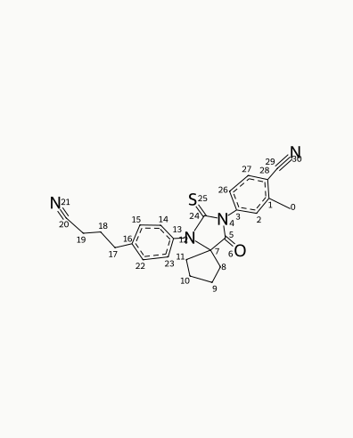 Cc1cc(N2C(=O)C3(CCCC3)N(c3ccc(CCCC#N)cc3)C2=S)ccc1C#N